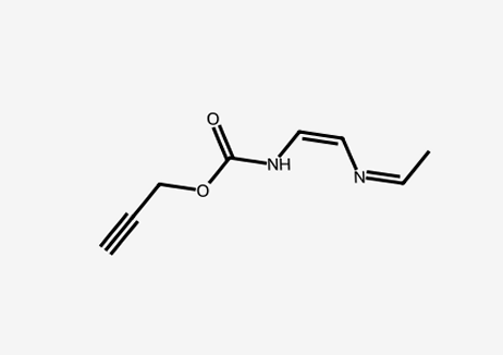 C#CCOC(=O)N/C=C\N=C/C